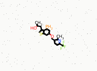 C=C(O)Cc1csc2cc(OCc3ccc(C(F)(F)F)nc3C)cc(P)c12